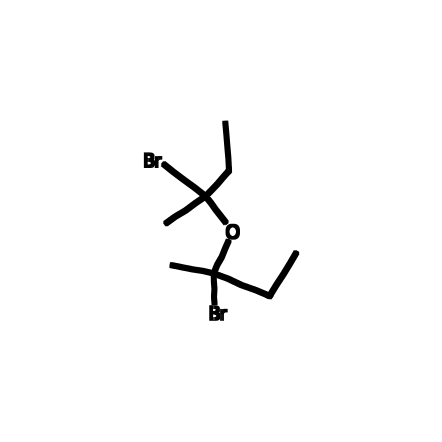 CCC(C)(Br)OC(C)(Br)CC